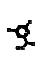 O=CC(Cl)c1cc(Cl)cc(Cl)n1